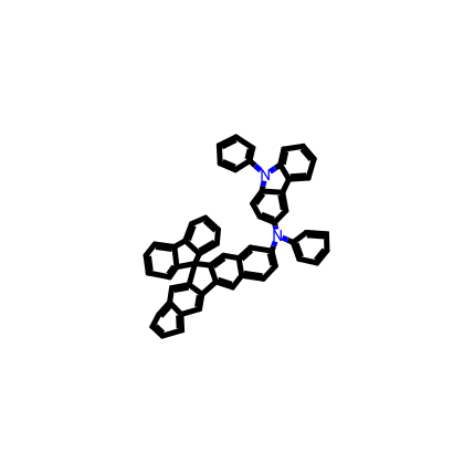 c1ccc(N(c2ccc3cc4c(cc3c2)C2(c3ccccc3-c3ccccc32)c2cc3ccccc3cc2-4)c2ccc3c(c2)c2ccccc2n3-c2ccccc2)cc1